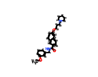 COc1cccc(CNC(=O)c2ccc3cc(OCCCN4CCCCC4)ccc3c2)c1